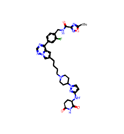 CC(C)(C)c1nc(C(=O)NCc2ccc(-c3ncnn4cc(CCCCN5CCC(n6ccc(NC7CCC(=O)NC7=O)n6)CC5)cc34)cc2F)no1